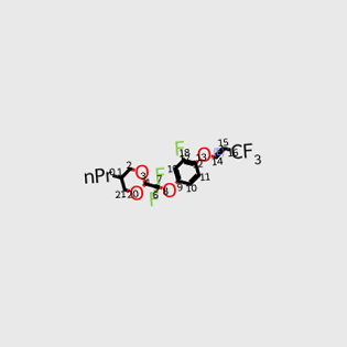 CCCC1COC(C(F)(F)Oc2ccc(O/C=C/C(F)(F)F)c(F)c2)OC1